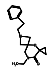 CCN1CC2(CN(CCc3ccccc3)C2)OC2(CC2)C1=O